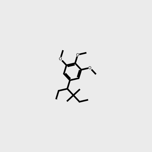 [CH2]CC(c1cc(OC)c(OC)c(OC)c1)C(C)(C)CC